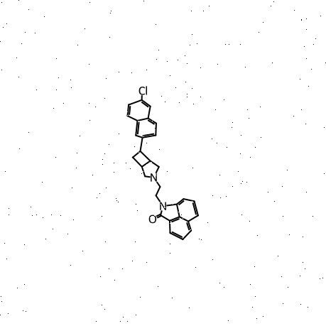 O=C1c2cccc3cccc(c23)N1CCN1CC2CC(c3ccc4cc(Cl)ccc4c3)C2C1